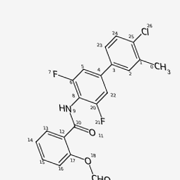 Cc1cc(-c2cc(F)c(NC(=O)c3ccccc3OC=O)c(F)c2)ccc1Cl